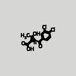 C[C@@]1(O)C(C(=O)O)[C@@H]1C(=O)c1ccc(Cl)c(Cl)c1